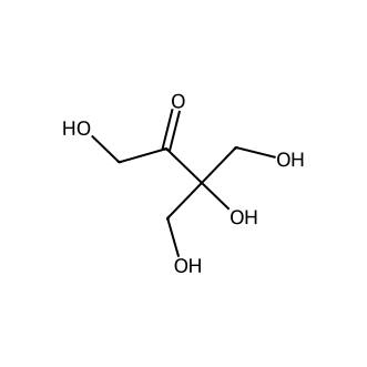 O=C(CO)C(O)(CO)CO